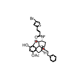 CC(=O)Oc1cc(O)c2c3c1C[C@@H]1[C@@H]4CC[C@@H](N(C)C(=O)/C=C/c5cc(Br)cs5)[C@H](O2)[C@]34CCN1CCc1ccccc1